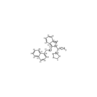 CC(N1CCCC1)n1nc2ccccc2c1OCc1cccc2ccccc12